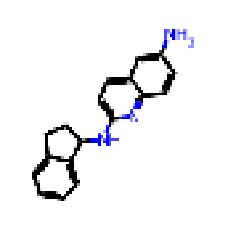 Nc1ccc2nc(NC3CCc4ccccc43)ccc2c1